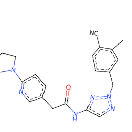 Cc1cc(Cn2ncc(NC(=O)Cc3ccc(N4CCCC4)nc3)n2)ccc1C#N